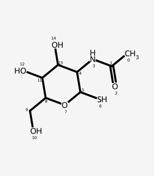 CC(=O)NC1C(S)OC(CO)C(O)C1O